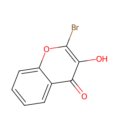 O=c1c(O)c(Br)oc2ccccc12